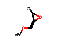 CCCOC=C1OC1CC